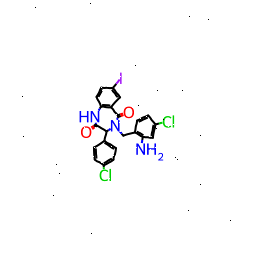 Nc1cc(Cl)ccc1CN1C(=O)c2cc(I)ccc2NC(=O)C1c1ccc(Cl)cc1